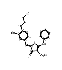 CCOC(=O)C1=C(Nc2ccccc2)S/C(=C\c2ccc(OCCN)c(O)c2)C1=O